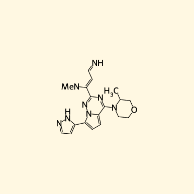 CN/C(=C\C=N)c1nc(N2CCOCC2C)c2ccc(-c3ccn[nH]3)n2n1